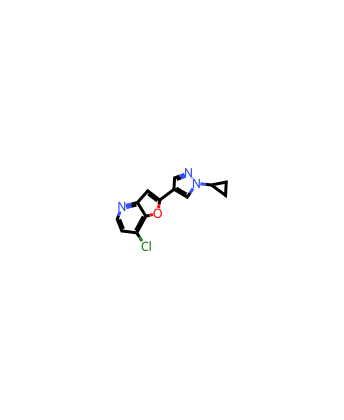 Clc1ccnc2cc(-c3cnn(C4CC4)c3)oc12